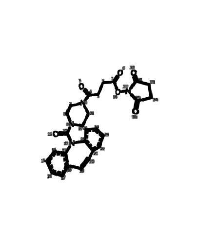 O=C(CCC(=O)N1CCN(C(=O)N2c3ccccc3C=Cc3ccccc32)CC1)ON1C(=O)CCC1=O